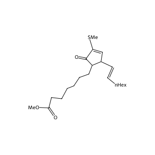 CCCCCC/C=C/C1C=C(SC)C(=O)C1CCCCCCC(=O)OC